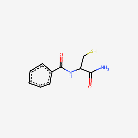 NC(=O)C(CS)NC(=O)c1ccccc1